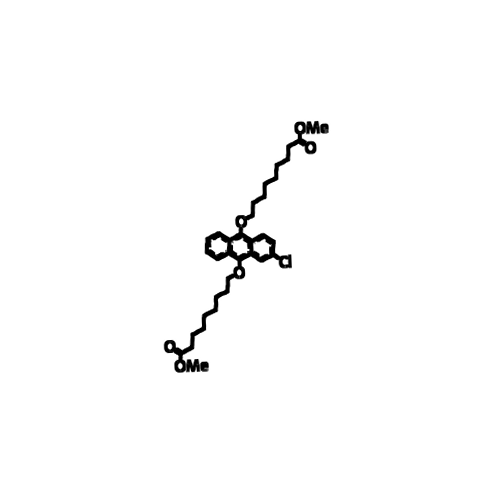 COC(=O)CCCCCCCCOc1c2ccccc2c(OCCCCCCCCC(=O)OC)c2cc(Cl)ccc12